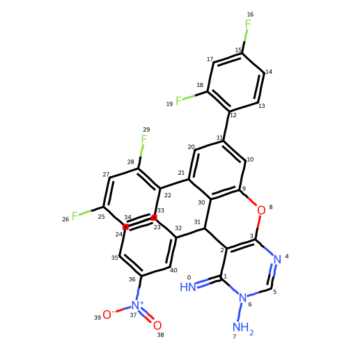 N=c1c2c(ncn1N)Oc1cc(-c3ccc(F)cc3F)cc(-c3ccc(F)cc3F)c1C2c1cccc([N+](=O)[O-])c1